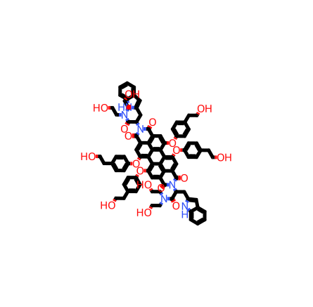 O=C(C(Cc1cc2ccccc2[nH]1)N1C(=O)c2cc(Oc3ccc(CCO)cc3)c3c4c(Oc5ccc(CCO)cc5)cc5c6c(cc(Oc7ccc(CCO)cc7)c(c7c(Oc8ccc(CCO)cc8)cc(c2c37)C1=O)c64)C(=O)N(C(Cc1cc2ccccc2[nH]1)C(=O)N(CCO)CCO)C5=O)N(CCO)CCO